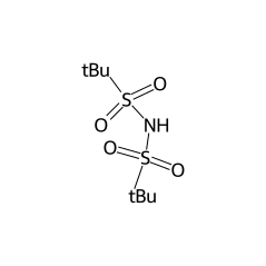 CC(C)(C)S(=O)(=O)NS(=O)(=O)C(C)(C)C